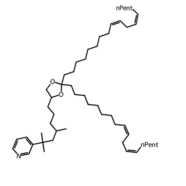 CCCCC/C=C\C/C=C\CCCCCCCCC1(CCCCCCCC/C=C\C/C=C\CCCCC)OCC(CCCC(C)CC(C)(C)c2cccnc2)O1